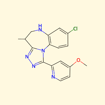 COc1ccnc(-c2nnc3n2-c2ccc(Cl)cc2NCC3C)c1